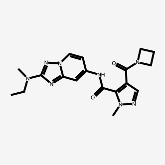 CCN(C)c1nc2cc(NC(=O)c3c(C(=O)N4CCC4)cnn3C)ccn2n1